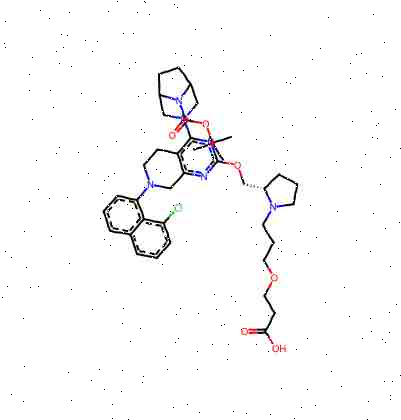 CC(C)(C)OC(=O)N1C2CCC1CN(c1nc(OC[C@@H]3CCCN3CCCOCCC(=O)O)nc3c1CCN(c1cccc4cccc(Cl)c14)C3)C2